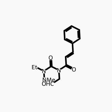 CCN(NC)C(=O)N(C[C]=O)C(=O)C=Cc1ccccc1